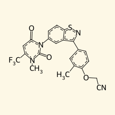 Cc1cc(-c2nsc3ccc(-n4c(=O)cc(C(F)(F)F)n(C)c4=O)cc23)ccc1OCC#N